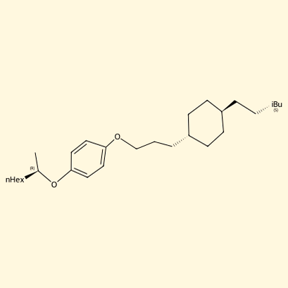 CCCCCC[C@@H](C)Oc1ccc(OCCC[C@H]2CC[C@H](CC[C@@H](C)CC)CC2)cc1